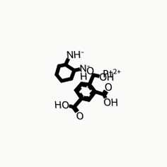 O=C(O)c1ccc(C(=O)O)c(C(=O)O)c1.[NH-]C1CCCCC1[NH-].[Pt+2]